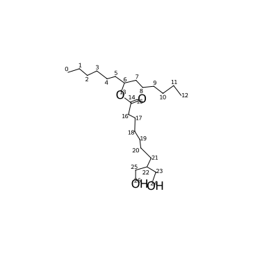 CCCCCCC(CCCCCC)OC(=O)CCCCCCC(CO)CO